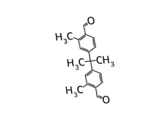 Cc1cc(C(C)(C)c2ccc(C=O)c(C)c2)ccc1C=O